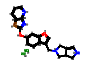 C1=C2CN(Cc3coc4cc(Oc5nc6ncccc6s5)ccc34)CC2CN1.Cl.Cl